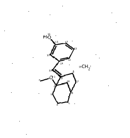 COC12CCCC(CCC1=Cc1cccc(O)c1)C2.[CH2]